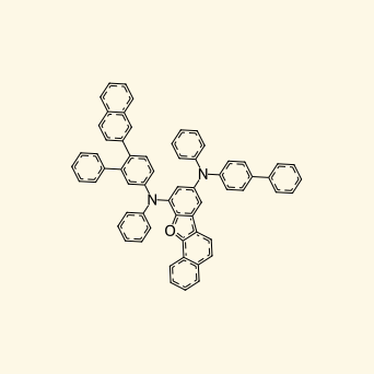 c1ccc(-c2ccc(N(c3ccccc3)c3cc(N(c4ccccc4)c4ccc(-c5ccc6ccccc6c5)c(-c5ccccc5)c4)c4oc5c6ccccc6ccc5c4c3)cc2)cc1